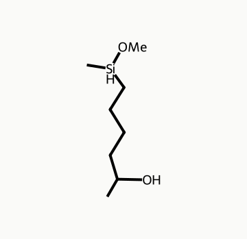 CO[SiH](C)CCCCC(C)O